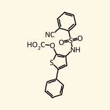 N#Cc1ccccc1S(=O)(=O)Nc1cc(-c2ccccc2)sc1OC(=O)O